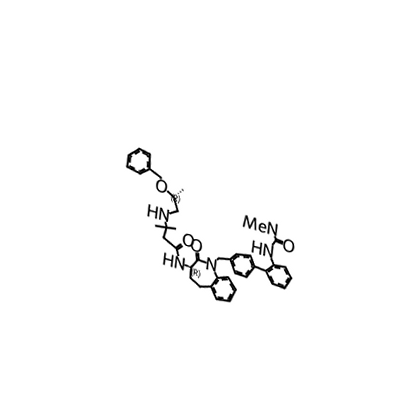 CNC(=O)Nc1ccccc1-c1ccc(CN2C(=O)[C@H](NC(=O)CC(C)(C)NC[C@@H](C)OCc3ccccc3)CCc3ccccc32)cc1